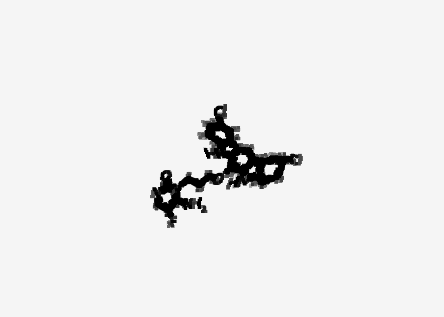 Nc1c(F)cnc(=O)n1CCCOc1c2[nH]c3ccc(Cl)cc3c2cc2c1[nH]c1ccc(Cl)cc12